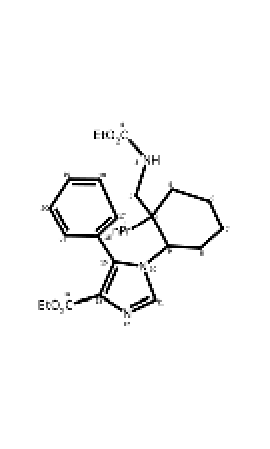 CCCC1(CNC(=O)OCC)CCCCC1n1cnc(C(=O)OCC)c1-c1ccccc1